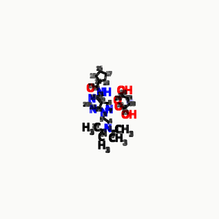 CC(C)N(CCn1ncc2c(NC(=O)C3CCCC3)ncnc21)C(C)C.O=C(O)/C=C\C(=O)O